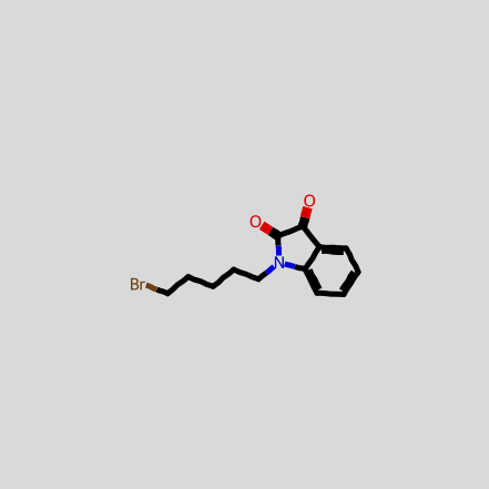 O=C1C(=O)N(CCCCCBr)c2ccccc21